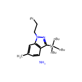 CCC[CH2][Sn]([CH2]CCC)([CH2]CCC)[c]1nn(CCC(C)C)c2cc(C)ccc12.N